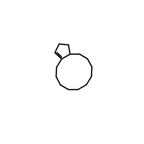 C1=C2CCCCCCCCCCC2CC1